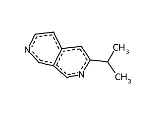 CC(C)c1cc2ccncc2cn1